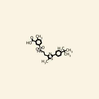 Cc1ccc(S(=O)(=O)NCCc2nc(-c3ccc(C(C)(C)C)cc3)sc2C)cc1C(=O)O